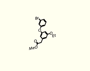 CCOc1cc(CC(=O)OC)cc(Oc2cccc(Br)c2)c1